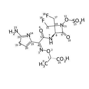 C[C@H](O/N=C(\C(=O)N[C@@H]1C(=O)N(OS(=O)(=O)O)C1(CF)CF)c1csc(N)n1)C(=O)O